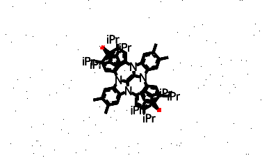 Cc1cc2c(cc1C)N(c1cc(C(C)C)c(C)c(C(C)C)c1)C(=C1N(c3cc(C(C)C)c(C)c(C(C)C)c3)c3cc(C)c(C)cc3N1c1cc(C(C)C)c(C)c(C(C)C)c1)N2c1cc(C(C)C)c(C)c(C(C)C)c1